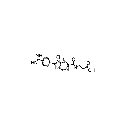 Cn1c(-c2ccc(C(=N)N)cc2)nc2cnc(C(=O)NCCC(=O)O)nc21